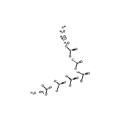 O.O.O.O.O.O.O=[N+]([O-])[O-].O=[N+]([O-])[O-].O=[N+]([O-])[O-].O=[N+]([O-])[O-].O=[N+]([O-])[O-].O=[N+]([O-])[O-].[U+6]